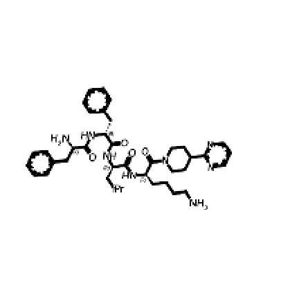 CC(C)C[C@@H](NC(=O)[C@@H](Cc1ccccc1)NC(=O)[C@H](N)Cc1ccccc1)C(=O)N[C@H](CCCCN)C(=O)N1CCC(c2ncccn2)CC1